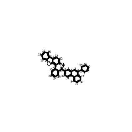 c1ccc(-c2cc3cc(-c4nc5ccc6c7ccccc7oc6c5c5ccccc45)ccc3c3ccccc23)cc1